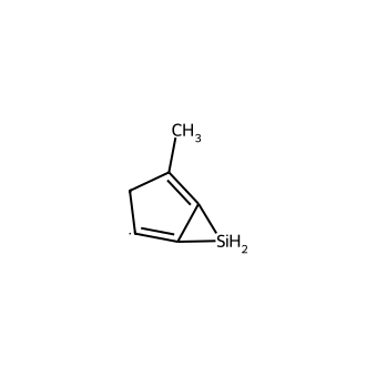 CC1=C2[SiH2]C2=[C]C1